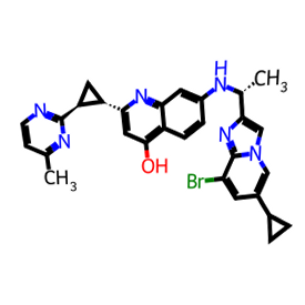 Cc1ccnc([C@H]2C[C@@H]2c2cc(O)c3ccc(N[C@H](C)c4cn5cc(C6CC6)cc(Br)c5n4)cc3n2)n1